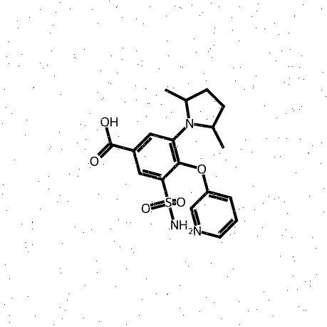 CC1CCC(C)N1c1cc(C(=O)O)cc(S(N)(=O)=O)c1Oc1cccnc1